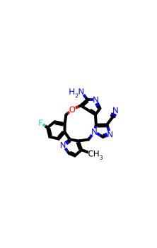 Cc1ccnc2c1Cn1cnc(C#N)c1-c1cnc(N)c(c1)OCc1cc(F)ccc1-2